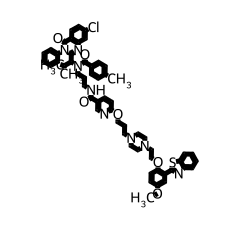 COc1ccc(OCCN2CCN(CCCOc3ccc(C(=O)NCCCN(C(=O)c4ccc(C)cc4)C(c4nc5cc(Cl)ccc5c(=O)n4-c4ccccc4)C(C)C)cn3)CC2)c(-c2nc3ccccc3s2)c1